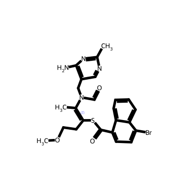 COCC/C(SC(=O)c1ccc(Br)c2ccccc12)=C(\C)N(C=O)Cc1cnc(C)nc1N